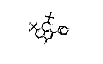 CC(C)(C)C(=O)CN1c2nc(N3CC4CC3CO4)cc(=O)n2CC[C@H]1C(F)(F)F